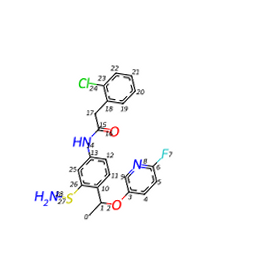 CC(Oc1ccc(F)nc1)c1ccc(NC(=O)Cc2ccccc2Cl)cc1SN